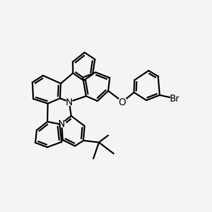 CC(C)(C)c1ccnc(N(c2cccc(Oc3cccc(Br)c3)c2)c2c(-c3ccccc3)cccc2-c2ccccc2)c1